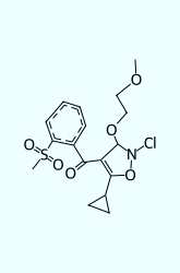 COCCOC1C(C(=O)c2ccccc2S(C)(=O)=O)=C(C2CC2)ON1Cl